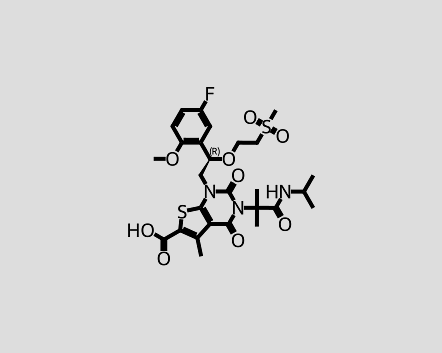 COc1ccc(F)cc1[C@H](Cn1c(=O)n(C(C)(C)C(=O)NC(C)C)c(=O)c2c(C)c(C(=O)O)sc21)OCCS(C)(=O)=O